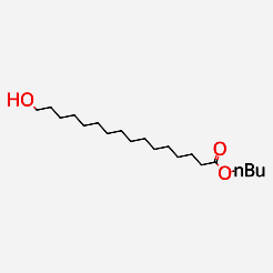 CCCCOC(=O)CCCCCCCCCCCCCCCO